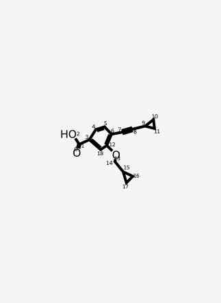 O=C(O)c1ccc(C#CC2CC2)c(OCC2CC2)c1